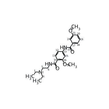 CCN(CC)CCNC(=O)c1ccc(NC(=O)c2cccc(OC)c2)cc1OC